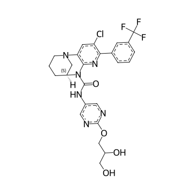 O=C(Nc1cnc(OCC(O)CO)nc1)N1c2nc(-c3cccc(C(F)(F)F)c3)c(Cl)cc2N2CCC[C@H]1C2